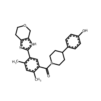 Cc1cc(C)c(-c2nc3c([nH]2)COCC3)cc1C(=O)N1CCC(c2ccc(O)cc2)CC1